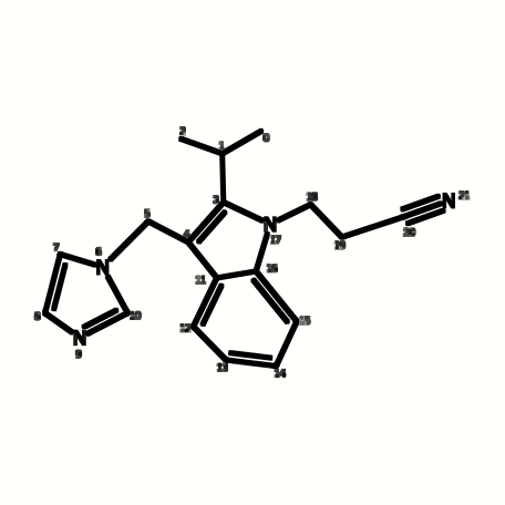 CC(C)c1c(Cn2ccnc2)c2ccccc2n1CCC#N